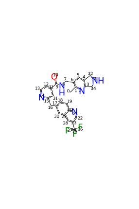 Cc1nc2c(cc1CNC(=O)c1ccnc(Cc3ccc4ncc(C(F)(F)F)cc4c3)c1)CNC2